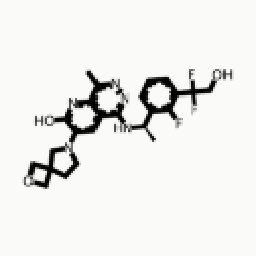 Cc1nnc(N[C@H](C)c2cccc(C(F)(F)CO)c2F)c2cc(N3CCC4(COC4)C3)c(O)nc12